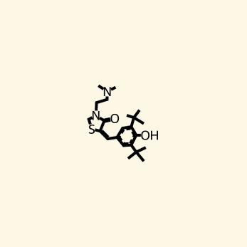 CN(C)CCN1CSC(=Cc2cc(C(C)(C)C)c(O)c(C(C)(C)C)c2)C1=O